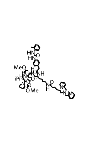 COC(=O)C[C@H](NC(=O)[C@H](CCCCNC(=O)CCCCCN(Cc1ccccn1)Cc1ccccn1)NC(=O)Cc1ccc(NC(=O)Nc2ccccc2C)cc1)C(=O)N[C@H](C(=O)N1CCC[C@H]1C(=O)OC)C(C)C